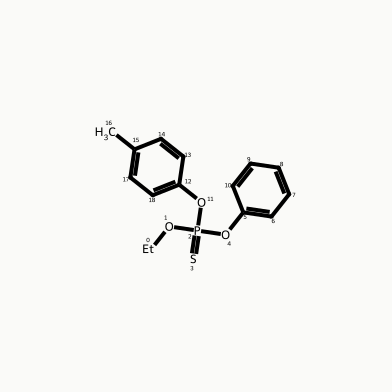 CCOP(=S)(Oc1ccccc1)Oc1ccc(C)cc1